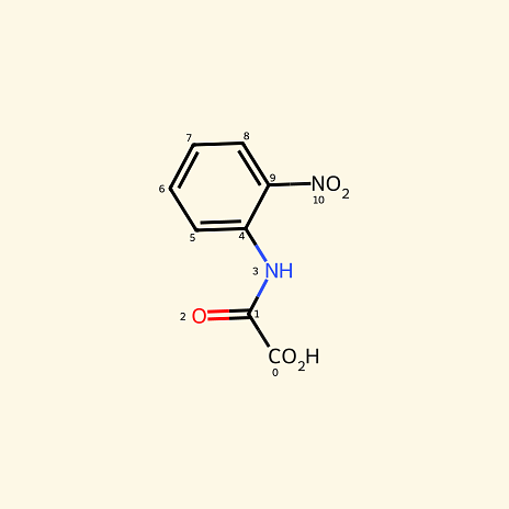 O=C(O)C(=O)Nc1ccccc1[N+](=O)[O-]